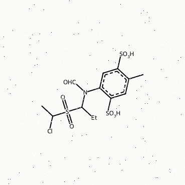 CCC(N(C=O)c1cc(S(=O)(=O)O)c(C)cc1S(=O)(=O)O)S(=O)(=O)C(C)Cl